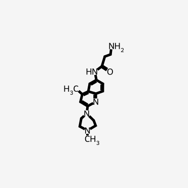 Cc1cc(N2CCN(C)CC2)nc2ccc(NC(=O)CCN)cc12